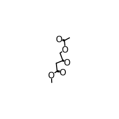 COC(=O)CC(=O)COC(C)=O